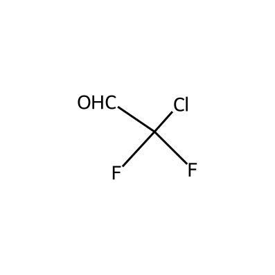 O=CC(F)(F)Cl